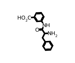 NC(Cc1ccccc1)C(=O)Nc1cccc(C(=O)O)c1